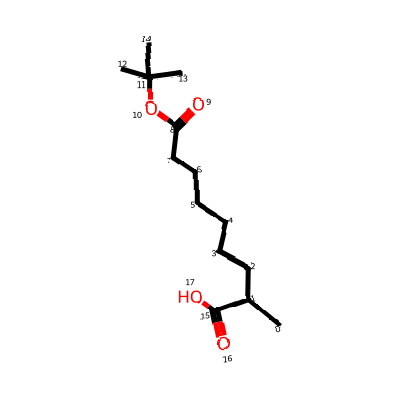 CC(CCCCCCC(=O)OC(C)(C)C)C(=O)O